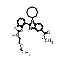 C=COCCNc1nc2cccc(-c3nc4cc(C(=O)OC)ccc4n3C3CCCCCCC3)c2s1